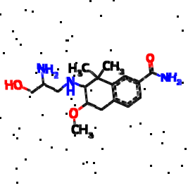 COC1Cc2ccc(C(N)=O)cc2C(C)(C)C1NCC(N)CO